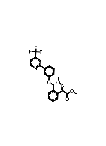 CO/N=C(/C(=O)OC)c1ccccc1COc1cccc(-c2cc(C(F)(F)F)ccn2)c1